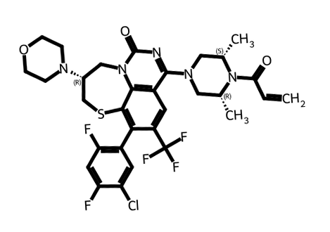 C=CC(=O)N1[C@H](C)CN(c2nc(=O)n3c4c(c(-c5cc(Cl)c(F)cc5F)c(C(F)(F)F)cc24)SC[C@H](N2CCOCC2)C3)C[C@@H]1C